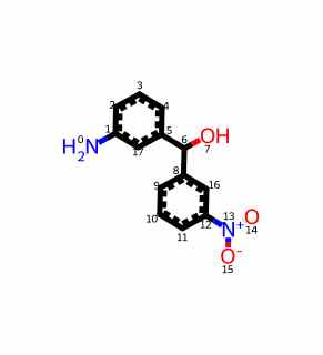 Nc1cccc(C(O)c2cccc([N+](=O)[O-])c2)c1